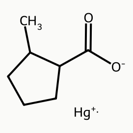 CC1CCCC1C(=O)[O-].[Hg+]